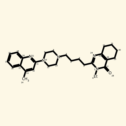 CCn1c(CCCCN2CCN(c3cc(C)c4ccccc4n3)CC2)nc2c(c1=O)CCCC2